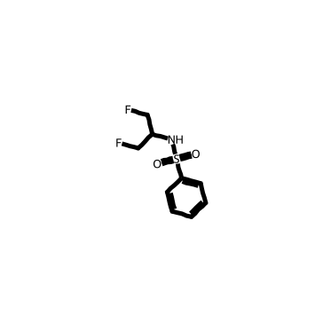 O=S(=O)(NC(CF)CF)c1ccccc1